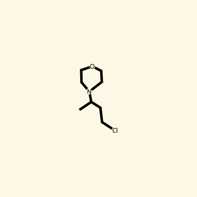 CC(CCCl)N1CCOCC1